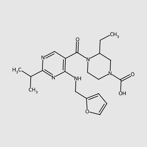 CCC1CN(C(=O)O)CCN1C(=O)c1cnc(C(C)C)nc1NCc1ccco1